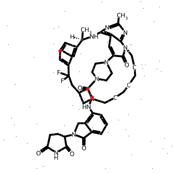 Cc1nc2c3cc(N4CCN(C(=O)CNc5cccc6c5CN(C5CCC(=O)NC5=O)C6=O)CC4)c(=O)n(c3n1)CCCCCCCN1CC(C1)CC(F)(F)c1cccc(c1F)[C@@H](C)N2